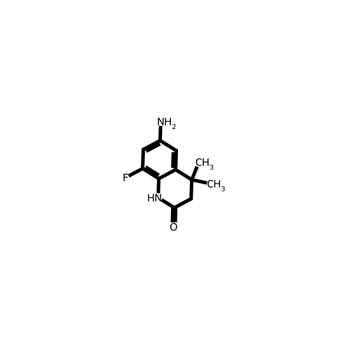 CC1(C)CC(=O)Nc2c(F)cc(N)cc21